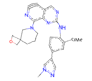 COc1cc(-c2cnn(C)c2)ccc1Nc1ncc2c#cnc(N3CCCC4(COC4)C3)c2n1